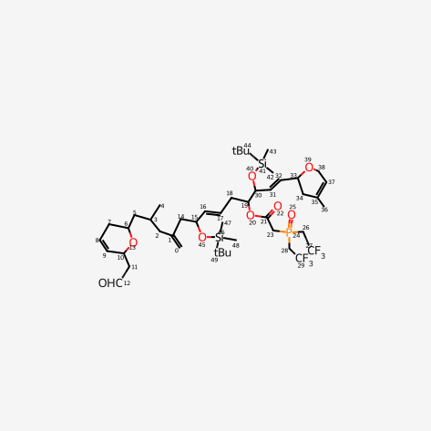 C=C(CC(C)CC1CC=CC(CC=O)O1)CC(C=CCC(OC(=O)CP(=O)(CC(F)(F)F)CC(F)(F)F)C(C=CC1CC(C)=CCO1)O[Si](C)(C)C(C)(C)C)O[Si](C)(C)C(C)(C)C